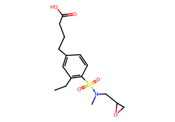 CCc1cc(CCCC(=O)O)ccc1S(=O)(=O)N(C)CC1CO1